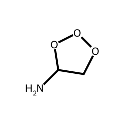 NC1COOO1